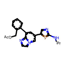 CC(=O)OCc1ccccc1-c1cc(-c2cnc(NC(C)C)s2)cn2ccnc12